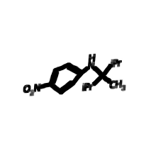 CC(C)C(C)(Nc1ccc([N+](=O)[O-])cc1)C(C)C